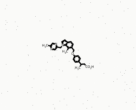 Cc1cnc(Cn2ccc3ccc(COc4ccc(C(C)CC(=O)O)cc4)c(C)c32)cn1